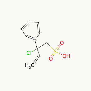 C=CC(Cl)(CS(=O)(=O)O)c1ccccc1